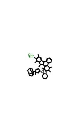 Cc1cc2c(c(C)c1C)C(C)c1c3c(c4ccccc4c1-2)C(C)C(C)C(C)[C]3(C)[Zr+2]([C]1=CC(C)(C23CC4CC(CC(C4)C2)C3)C=C1)=[C]1CCCCC1.[Cl-].[Cl-]